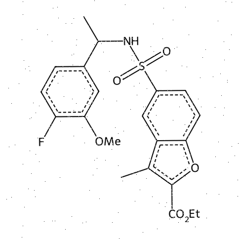 CCOC(=O)c1oc2ccc(S(=O)(=O)NC(C)c3ccc(F)c(OC)c3)cc2c1C